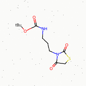 CC(C)(C)OC(=O)NCCCN1C(=O)CSC1=O